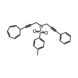 Cc1ccc(S(=O)(=O)N(CC#Cc2ccccc2)CC#CC2C=CC=CC=C2)cc1